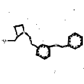 NCC1CCN1CCc1cccc(OCc2ccccc2)c1